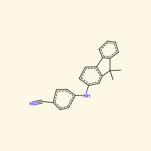 CC1(C)c2ccccc2-c2ccc(Nc3ccc(C#N)cc3)cc21